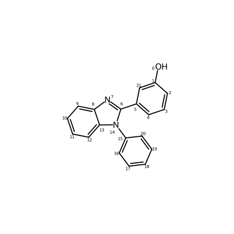 Oc1cccc(-c2nc3ccccc3n2-c2ccccc2)c1